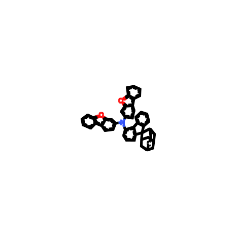 c1ccc2c(c1)-c1c(N(c3ccc4c(c3)oc3ccccc34)c3ccc4c(c3)oc3ccccc34)cccc1C21C2CCC3CC(C2)CC1C3